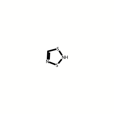 C1=NSNS1